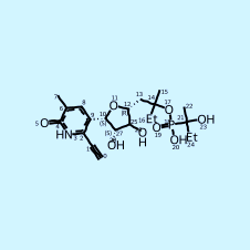 C#Cc1[nH]c(=O)c(C)cc1[C@@H]1O[C@H](CC(C)(CC)OP(=O)(O)C(C)(O)CC)C(O)[C@@H]1O